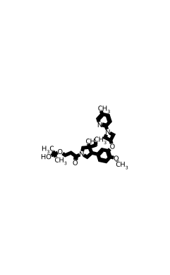 CCC1(C)CN(C(=O)CCOC(C)(C)O)CC1c1ccc(OC)c(OC2CN(c3ccc(C)cn3)C2)c1